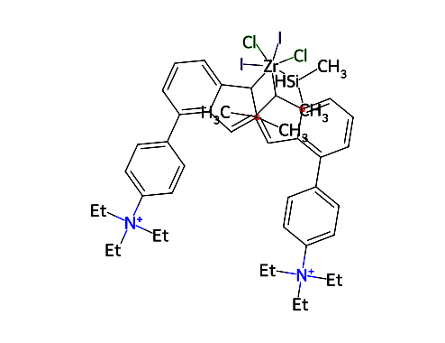 CC[N+](CC)(CC)c1ccc(-c2cccc3c2C=C(C)[CH]3[Zr]([Cl])([Cl])([I])([I])([CH]2C(C)=Cc3c(-c4ccc([N+](CC)(CC)CC)cc4)cccc32)[SiH](C)C)cc1